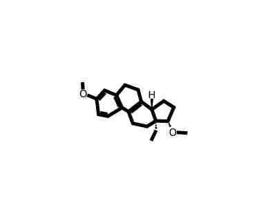 CC[C@]12CCC3=C(CCc4cc(OC)ccc43)[C@@H]1CC[C@@H]2OC